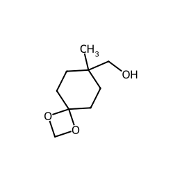 CC1(CO)CCC2(CC1)OCO2